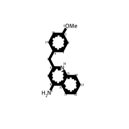 COc1ccc(Cc2cc(N)c3ccccc3n2)cc1